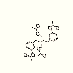 CC(=O)OC[C@H](Cc1cccc(OC(C)=O)c1)[C@H](COC(C)=O)Cc1cccc(OC(C)=O)c1